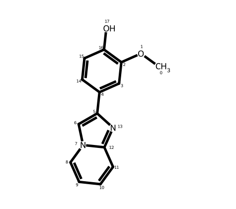 COc1cc(-c2cn3ccccc3n2)ccc1O